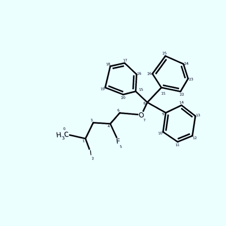 CC(I)CC(F)COC(c1ccccc1)(c1ccccc1)c1ccccc1